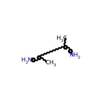 CCCCCc1cc(Cc2ccc(N)cc2)ccc1CCCCCCCCCCCCCCCc1ccc(Cc2ccc(N)cc2)cc1CCCCC